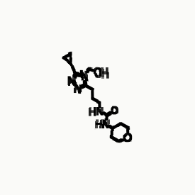 O=C(NCCCc1nnc(C2CC2)n1CO)NC1CCOCC1